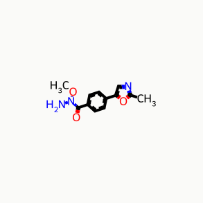 CON(N)C(=O)c1ccc(-c2cnc(C)o2)cc1